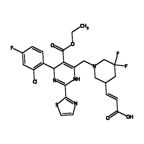 CCOC(=O)C1=C(CN2CC(/C=C/C(=O)O)CC(F)(F)C2)NC(c2nccs2)=NC1c1ccc(F)cc1Cl